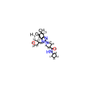 Cc1cc2nc(N3CCC(C(=O)NC4CCCC4)CC3)n(CC3CCOCC3)c2cc1C